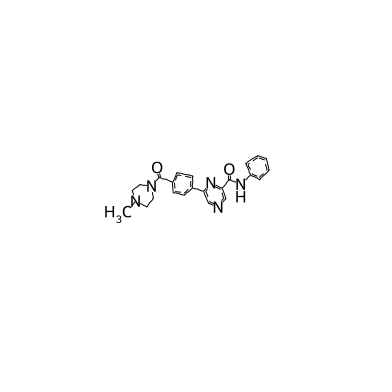 CN1CCN(C(=O)c2ccc(-c3cncc(C(=O)Nc4ccccc4)n3)cc2)CC1